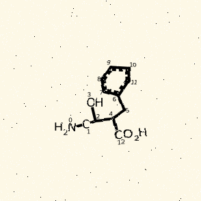 NCC(O)C(Cc1ccccc1)C(=O)O